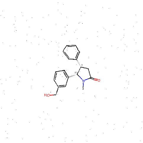 CN1C(=O)C[C@@H](c2ccccc2)[C@H]1c1cccc(CO)c1